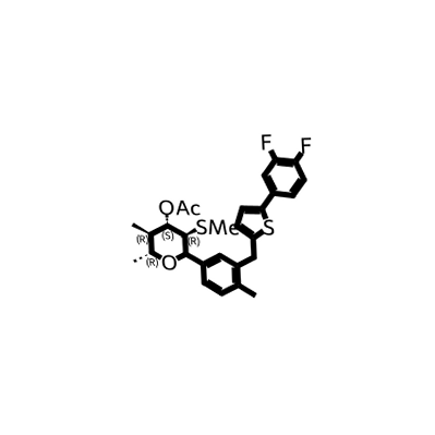 CS[C@H]1C(c2ccc(C)c(Cc3ccc(-c4ccc(F)c(F)c4)s3)c2)O[C@H](C)[C@@H](C)[C@@H]1OC(C)=O